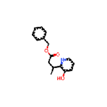 CC(CC(=O)OCc1ccccc1)c1ncccc1O